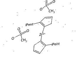 CCCC(C)C1=[C]([Zr+2][C]2=C(C(C)CCC)C=CC2)CC=C1.CS(=O)(=O)[O-].CS(=O)(=O)[O-]